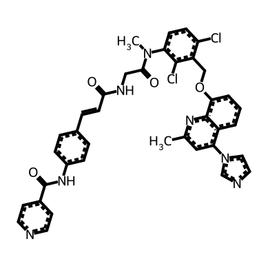 Cc1cc(-n2ccnc2)c2cccc(OCc3c(Cl)ccc(N(C)C(=O)CNC(=O)C=Cc4ccc(NC(=O)c5ccncc5)cc4)c3Cl)c2n1